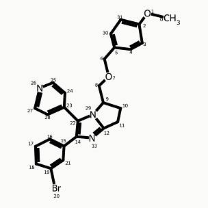 COc1ccc(COCC2CCc3nc(-c4cccc(Br)c4)c(-c4ccncc4)n32)cc1